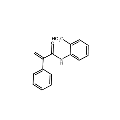 C=C(C(=O)Nc1ccccc1C(=O)O)c1ccccc1